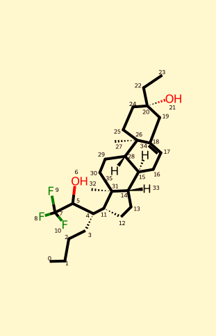 CCCC[C@H](C(O)C(F)(F)F)[C@H]1CC[C@H]2[C@@H]3CC=C4C[C@](O)(CC)CC[C@]4(C)[C@H]3CC[C@]12C